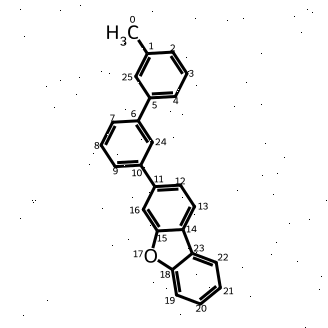 Cc1cccc(-c2cccc(-c3ccc4c(c3)oc3ccccc34)c2)c1